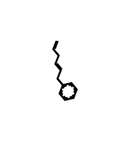 [CH]=CCC=CCc1ccccc1